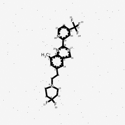 Cc1cc(CCN2CCC(F)(F)CC2)cc2cnc(-c3cc(C(F)(F)F)ccn3)nc12